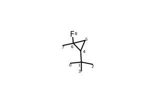 CC(C)(C)C1CC1(C)F